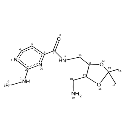 CC(C)Nc1nccc(C(=O)NCC2OC(C)(C)OC2CN)n1